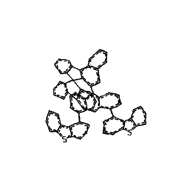 c1ccc2c(c1)-c1ccccc1C21c2ccccc2-c2c1c(-c1c3cccc(-c4cccc5sc6ccccc6c45)c3cc3c(-c4cccc5sc6ccccc6c45)cccc13)cc1ccccc21